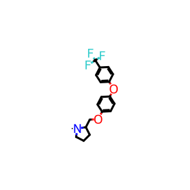 FC(F)(F)c1ccc(Oc2ccc(OCC3CCC[N]3)cc2)cc1